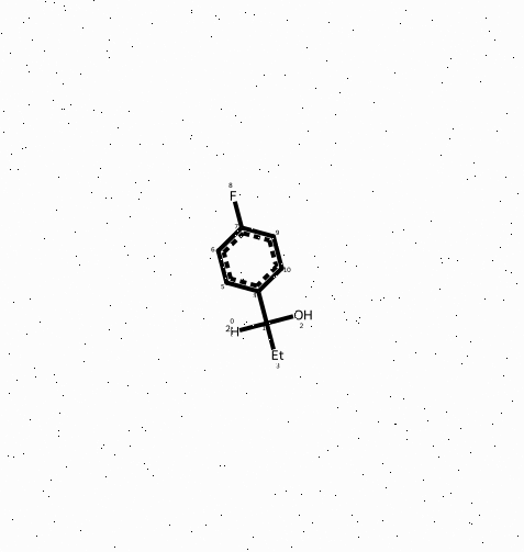 [2H]C(O)(CC)c1ccc(F)cc1